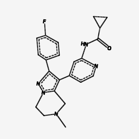 CN1CCn2nc(-c3ccc(F)cc3)c(-c3ccnc(NC(=O)C4CC4)c3)c2C1